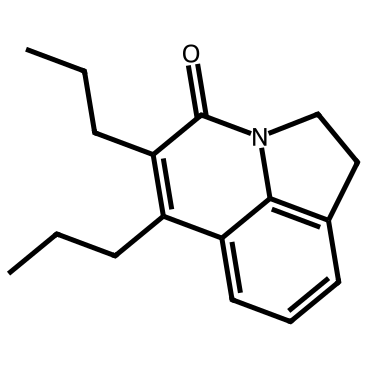 CCCc1c(CCC)c2cccc3c2n(c1=O)CC3